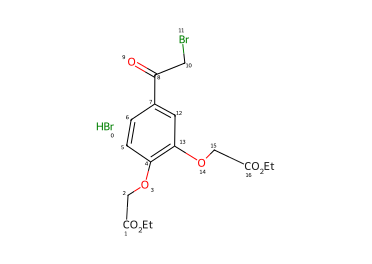 Br.CCOC(=O)COc1ccc(C(=O)CBr)cc1OCC(=O)OCC